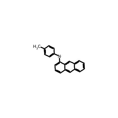 Cc1ccc([N]c2cccc3cc4ccccc4cc23)cc1